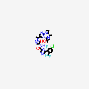 CC([C@@H]1CCN1c1ncc(C(C)n2cc(NC(=O)c3cncc(-c4c(C(F)F)ccc(Cl)c4F)n3)cn2)cn1)N1CC(C)(O)C1